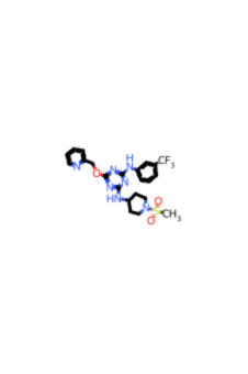 CS(=O)(=O)N1CCC(Nc2nc(Nc3cccc(C(F)(F)F)c3)nc(OCc3ccccn3)n2)CC1